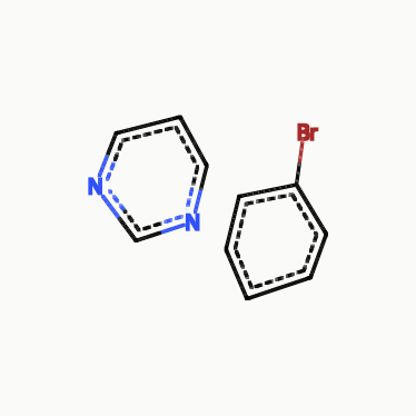 Brc1ccccc1.c1cncnc1